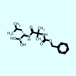 CC(C)C[C@H](NC(=O)C(C)(C)NC(=O)OCc1ccccc1)B(O)O